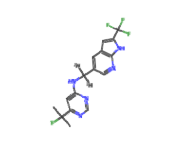 [2H]C([2H])(Nc1cc(C(C)(C)F)ncn1)c1cnc2[nH]c(C(F)(F)F)cc2c1